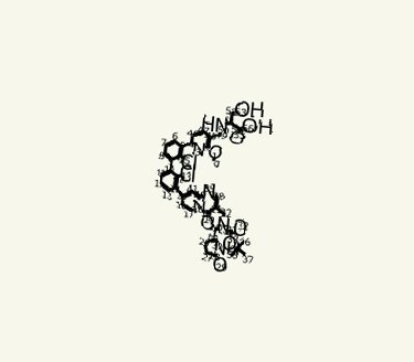 COc1nc(-c2cccc(-c3cccc(-c4ccn5c(=O)c(CN(C[C@@H]6CCC(=O)N6)C(=O)OC(C)(C)C)cnc5c4)c3Cl)c2Cl)ccc1CNC(CO)C(=O)O